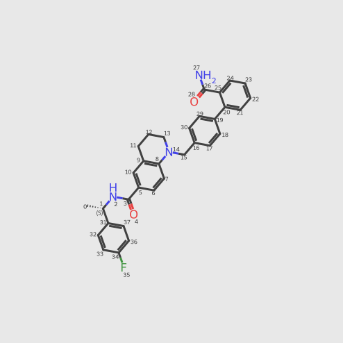 C[C@H](NC(=O)c1ccc2c(c1)CCCN2Cc1ccc(-c2ccccc2C(N)=O)cc1)c1ccc(F)cc1